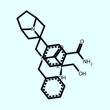 NC(=O)c1cccc(C2CC3CCC(C2)N3CCN(Cc2ccccc2)C(=O)[C@H](O)CO)c1